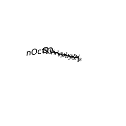 CCCCCCCCOCOCCC=CCCCCCCCCCCI